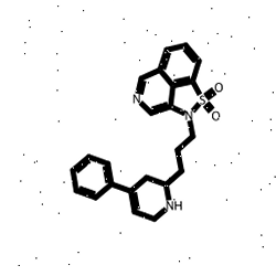 O=S1(=O)c2cccc3cncc(c23)N1CCCC1CC(c2ccccc2)=CCN1